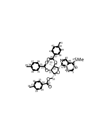 CSc1ncnn2c([C@@H]3O[C@H](COC(=O)c4ccc(C)cc4)[C@@H](OC(=O)c4ccc(C)cc4)[C@@]3(C)OC(=O)c3ccc(C)cc3)ncc12